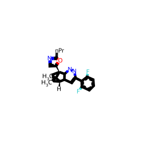 CCCc1ncc([C@@]23CC[C@@H](C4C=C(c5c(F)cccc5F)N=NC42)C3(C)C)o1